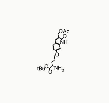 CC(=O)OCc1cc2ccc(OCCCC(N)C(=O)OC(C)(C)C)cc2[nH]c1=O